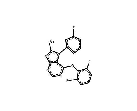 CC(C)(C)c1sc2ncnc(Oc3c(F)cccc3F)c2c1-c1cccc(F)c1